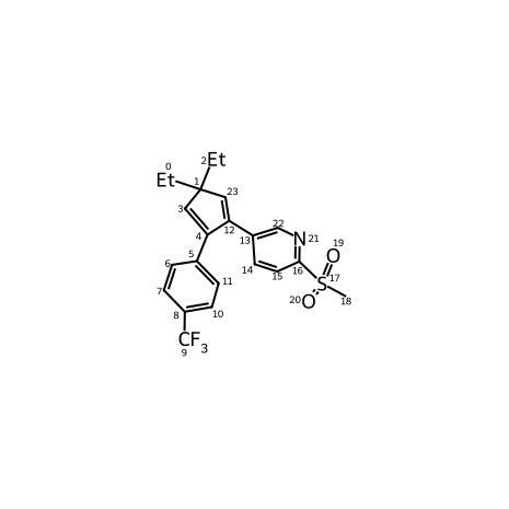 CCC1(CC)C=C(c2ccc(C(F)(F)F)cc2)C(c2ccc(S(C)(=O)=O)nc2)=C1